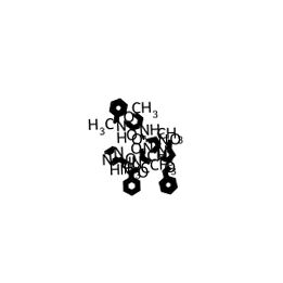 CCCC(NC(=O)[C@@H]1CC2(CN1C(=O)[C@@H](NC(=O)[C@@H](NC(=O)c1cnccn1)C1CCCCC1)C(C)(C)C)N(C)C(=O)C1C[C@@H](OCc3ccccc3)CN12)C(=O)C(=O)N[C@@H](C)c1ccccc1